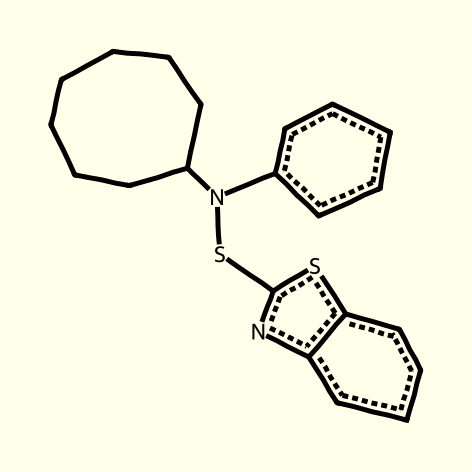 c1ccc(N(Sc2nc3ccccc3s2)C2CCCCCCC2)cc1